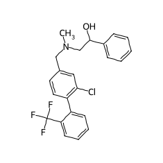 CN(Cc1ccc(-c2ccccc2C(F)(F)F)c(Cl)c1)CC(O)c1ccccc1